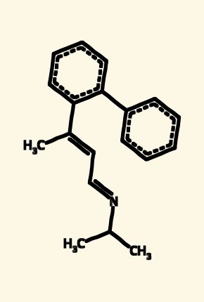 CC(=CC=NC(C)C)c1ccccc1-c1ccccc1